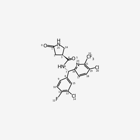 O=C1C[C@H](C(=O)N[C@@H](c2ccc(F)c(Cl)c2)c2ccc(Cl)c(C(F)(F)F)n2)CN1